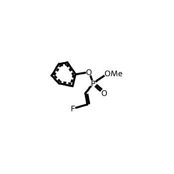 COP(=O)(C=CF)Oc1ccccc1